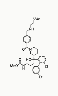 CCc1cccc(-c2c(Cl)cccc2C(O)(CCCNC(=O)OC)[C@@H]2CCCN(C(=O)c3ccc(CNCCSC)cc3)C2)c1